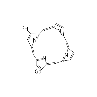 [2H]C1=CC2=CC3=NC(=CC4=NC(=CC5=NC(=CC1=N2)C=C5)C=C4)C=C3.[Gd]